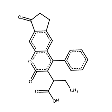 CCC(C(=O)O)c1c(-c2ccccc2)c2cc3c(cc2oc1=O)C(=O)CC3